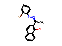 C/C(=N/Nc1ccccc1Br)c1ccc2ccccc2c1O